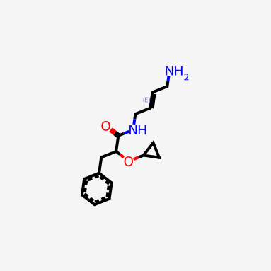 NC/C=C/CNC(=O)C(Cc1ccccc1)OC1CC1